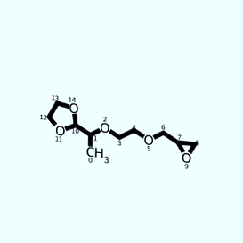 CC(OCCOCC1CO1)C1OCCO1